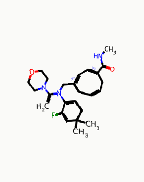 C=C(N1CCOCC1)N(C/C1=C/C=C(/C(=O)NC)CC=CC1)C1=CCC(C)(C)C=C1F